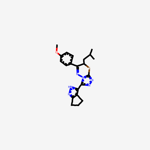 COc1ccc(C2=Nn3c(nnc3-c3[nH]nc4c3CCC4)SC2CC(C)C)cc1